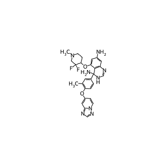 Cc1cc(C2(N)NC=Nc3cc(N)cc(OC4CCN(C)CC4(F)F)c32)ccc1Oc1ccn2ncnc2c1